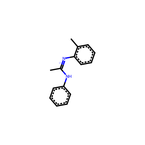 C/C(=N/c1ccccc1C)Nc1ccccc1